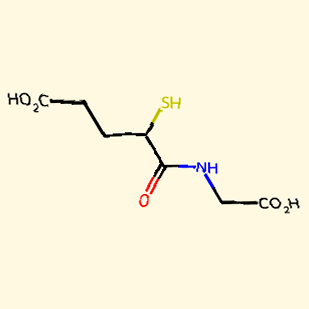 O=C(O)CCC(S)C(=O)NCC(=O)O